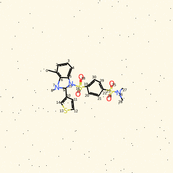 Cc1cccc2c1N(C)C(c1ccsc1)N2S(=O)(=O)c1ccc(S(=O)(=O)N(C)C)cc1